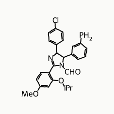 COc1ccc(C2=NC(c3ccc(Cl)cc3)C(c3cccc(P)c3)N2C=O)c(OC(C)C)c1